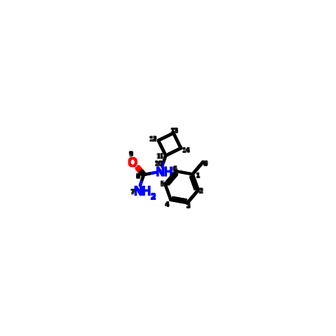 Cc1ccccc1.NC(=O)NC1CCC1